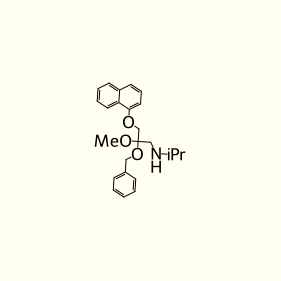 COC(CNC(C)C)(COc1cccc2ccccc12)OCc1ccccc1